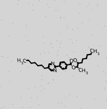 CCCCCCCc1cnc(-c2ccc(C(=O)OC(C)C(=O)CCCCCC)cc2)nc1